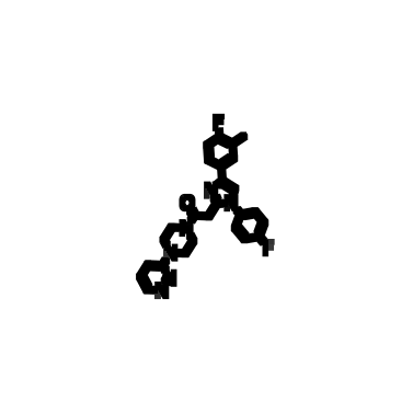 Cc1cc(-c2cn(-c3ccc(F)cc3)c(CC(=O)N3CCN(c4cccnn4)CC3)n2)ccc1F